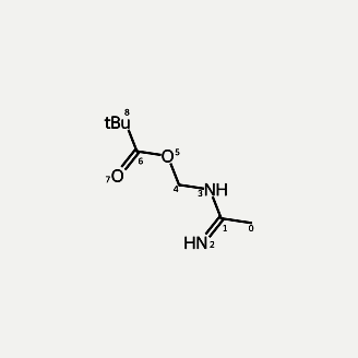 CC(=N)NCOC(=O)C(C)(C)C